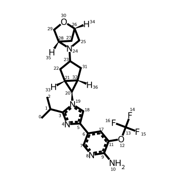 CC(C)c1nc(-c2cnc(N)c(OC(F)(F)F)c2)cn1[C@H]1[C@@H]2CC(N3C[C@@H]4C[C@H]3CO4)C[C@@H]21